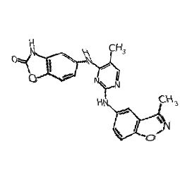 Cc1cnc(Nc2ccc3onc(C)c3c2)nc1Nc1ccc2oc(=O)[nH]c2c1